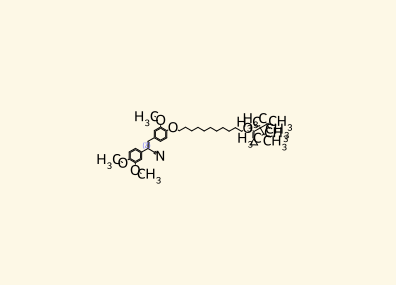 COc1ccc(/C(C#N)=C/c2ccc(OCCCCCCCCCCCOC(=C3CC3)C(C)(C(C)(C)C)C(C)(C)C)c(OC)c2)cc1OC